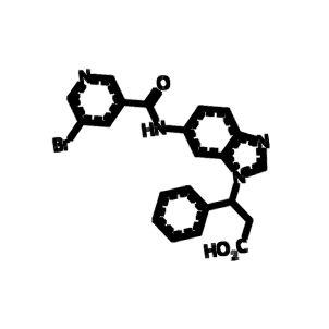 O=C(O)CC(c1ccccc1)n1cnc2ccc(NC(=O)c3cncc(Br)c3)cc21